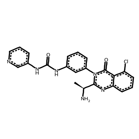 C[C@H](N)c1nc2cccc(Cl)c2c(=O)n1-c1cccc(NC(=O)Nc2cccnc2)c1